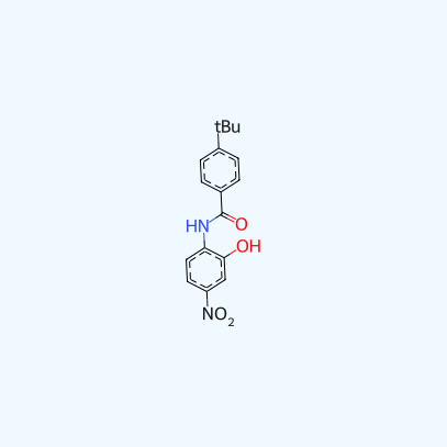 CC(C)(C)c1ccc(C(=O)Nc2ccc([N+](=O)[O-])cc2O)cc1